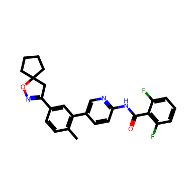 Cc1ccc(C2=NOC3(CCCC3)C2)cc1-c1ccc(NC(=O)c2c(F)cccc2F)nc1